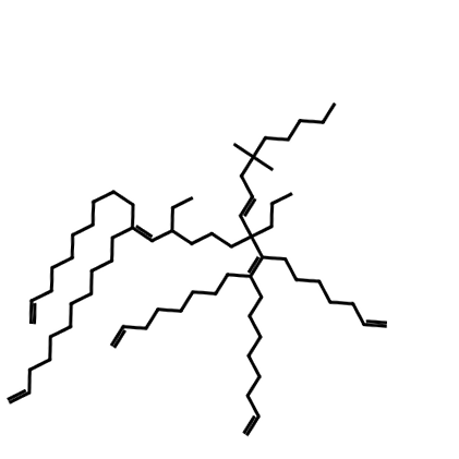 C=CCCCCCCCCCC(=CC(CC)CCCC(C=CCC(C)(C)CCCCC)(CCC)C(CCCCCC=C)=C(CCCCCCC=C)CCCCCCC=C)CCCCCCCCC=C